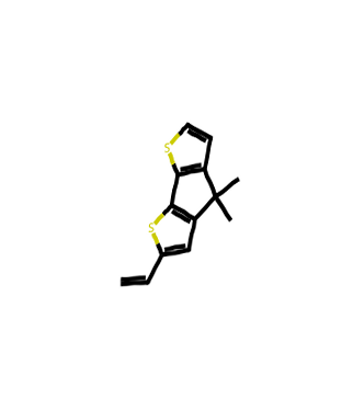 C=Cc1cc2c(s1)-c1sccc1C2(C)C